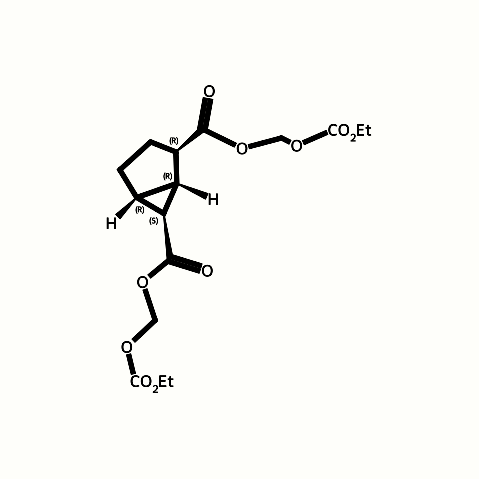 CCOC(=O)OCOC(=O)[C@H]1[C@@H]2CC[C@@H](C(=O)OCOC(=O)OCC)[C@@H]21